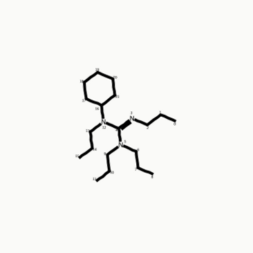 CCCN=C(N(CCC)CCC)N(CCC)C1CCCCC1